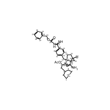 CC(=O)O[C@H](CC1CCCCC1)C(=O)[N+]1(Cc2ccc(C(=N)NC(=O)OCc3ccccc3)cc2)CC[C@@H]2C[C@@]21C(N)=O